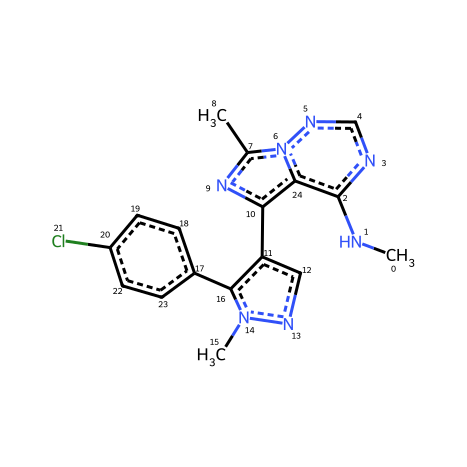 CNc1ncnn2c(C)nc(-c3cnn(C)c3-c3ccc(Cl)cc3)c12